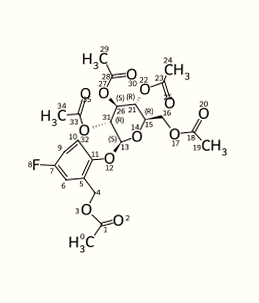 CC(=O)OCc1cc(F)ccc1O[C@@H]1O[C@H](COC(C)=O)[C@@H](OC(C)=O)[C@H](OC(C)=O)[C@H]1OC(C)=O